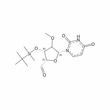 COC1[C@@H](O[Si](C)(C)C(C)(C)C)[C@@H](C=O)O[C@H]1n1ccc(=O)[nH]c1=O